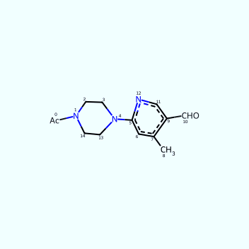 CC(=O)N1CCN(c2cc(C)c(C=O)cn2)CC1